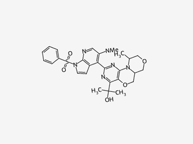 CNc1cnc2c(ccn2S(=O)(=O)c2ccccc2)c1-c1nc2c(c(C(C)(C)O)n1)OCC1COCC(C)N21